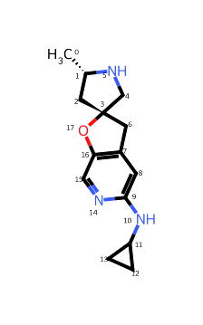 C[C@H]1C[C@@]2(CN1)Cc1cc(NC3CC3)ncc1O2